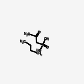 CC(=O)CP(=O)(O)O.CCCC